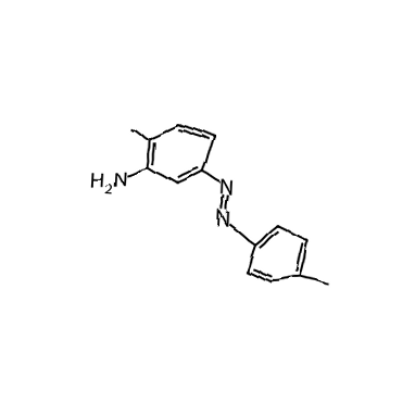 Cc1ccc(/N=N/c2ccc(C)c(N)c2)cc1